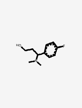 CN(C)C(CCO)c1ccc(F)cc1